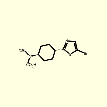 CC(C)(C)N(C(=O)O)[C@H]1CC[C@H](c2ncc(Br)s2)CC1